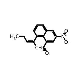 CC/C=C(/C)c1cccc2cc([N+](=O)[O-])cc(C=O)c12